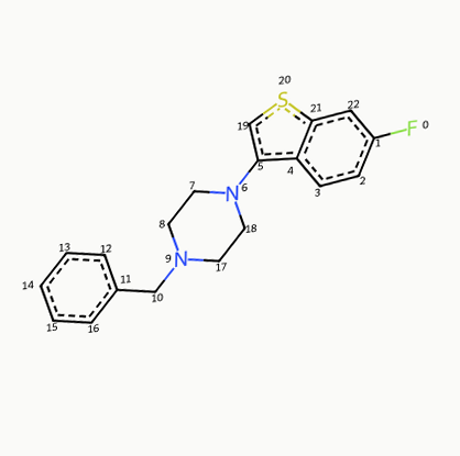 Fc1ccc2c(N3CCN(Cc4ccccc4)CC3)csc2c1